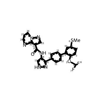 CSc1ccc(OC(F)F)c(-c2ccc(-c3n[nH]cc3NC(=O)c3cnn4cccnc34)cc2)c1